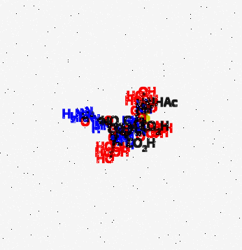 CC(=O)NNC(=O)OCCSSC[C@@H](NC(=O)[C@H](CCC(=O)NC[C@H](O)[C@@H](O)[C@H](O)[C@H](O)CO)NC(=O)[C@@H](CCC(=O)O)NC(=O)[C@H](CCC(=O)NC[C@H](O)[C@@H](O)[C@H](O)[C@H](O)CO)NC(=O)[C@@H](CCC(=O)O)NC(=O)[C@H](CCC(=O)NC[C@H](O)[C@@H](O)[C@H](O)[C@H](O)CO)NC(=O)CC[C@@H](NC(=O)c1ccc(NCc2cnc3nc(N)[nH]c(=O)c3n2)cc1)C(=O)O)C(=O)O